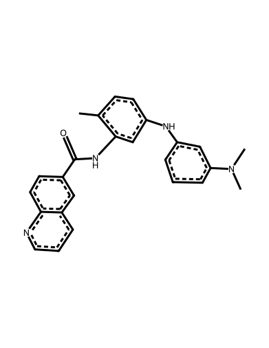 Cc1ccc(Nc2cccc(N(C)C)c2)cc1NC(=O)c1ccc2ncccc2c1